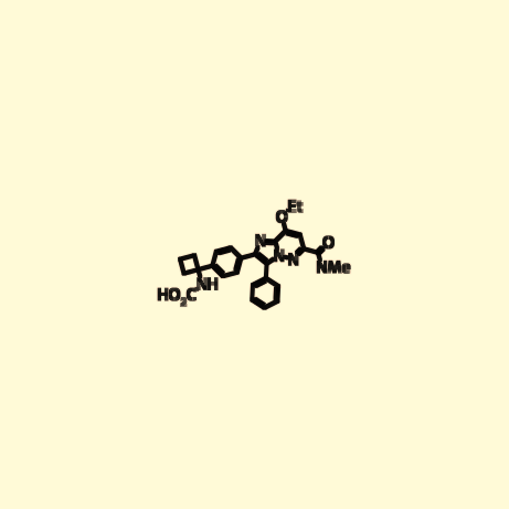 CCOc1cc(C(=O)NC)nn2c(-c3ccccc3)c(-c3ccc(C4(NC(=O)O)CCC4)cc3)nc12